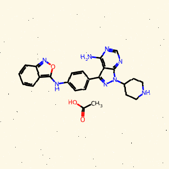 CC(=O)O.Nc1ncnc2c1c(-c1ccc(Nc3onc4ccccc34)cc1)nn2C1CCNCC1